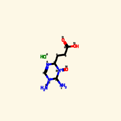 Cl.NC1N(N)C=NC(CCC(=O)O)[N+]1=O